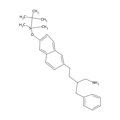 CC(C)(C)[Si](C)(C)Oc1ccc2cc(CCC(CN)Cc3ccccc3)ccc2c1